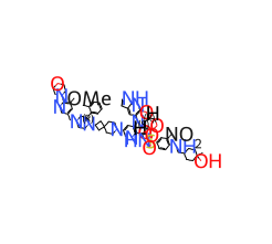 COc1cc(CN2CCN(C3CC4(CCN(c5cnc(C(=O)NS(=O)(=O)c6ccc(NCC7CCC(C)(O)CC7)c([N+](=O)[O-])c6)c(N6c7cc8cc[nH]c8nc7O[C@H]7COCC[C@@H]76)c5)CC4)C3)[C@H](c3ccccc3C)C2)cnc1N1CCOCC1